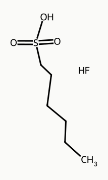 CCCCCCS(=O)(=O)O.F